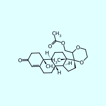 CC(=O)OCC1OCCO[C@@]12CC[C@H]1[C@@H]3CCC4=CC(=O)CC[C@]4(C)[C@H]3CC[C@@]12C